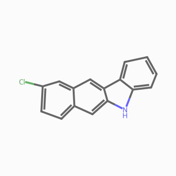 Clc1ccc2cc3[nH]c4ccccc4c3cc2c1